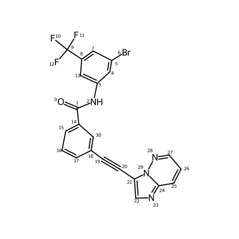 O=C(Nc1cc(Br)cc(C(F)(F)F)c1)c1cccc(C#Cc2cnc3cccnn23)c1